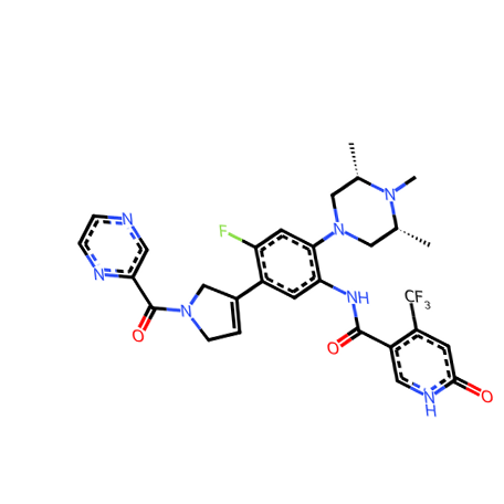 C[C@@H]1CN(c2cc(F)c(C3=CCN(C(=O)c4cnccn4)C3)cc2NC(=O)c2c[nH]c(=O)cc2C(F)(F)F)C[C@H](C)N1C